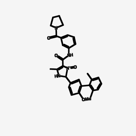 COc1ccc(C2NC(C)=C(C(=O)Nc3cccc(C(=O)N4CCCC4)c3)[N+]2=O)cc1-c1c(C)cccc1C